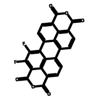 O=C1OC(=O)c2ccc3c4c(F)c(F)c5c6c(ccc(c7ccc1c2c73)c64)C(=O)OC5=O